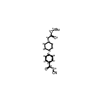 CC(C)(C)OC(=O)C[C@H]1CC[C@H](c2ccc(C(=O)SC#N)cc2)CC1